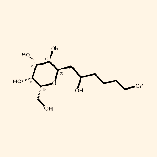 OCCCCC(O)C[C@H]1O[C@H](CO)[C@H](O)[C@H](O)[C@H]1O